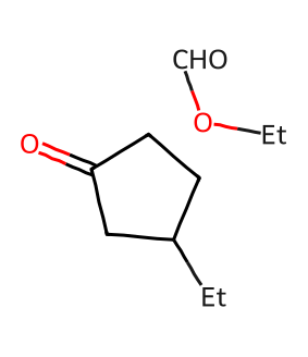 CCC1CCC(=O)C1.CCOC=O